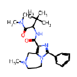 CN1CCCn2c(-c3ccccc3)nc(C(=O)NC(C(=O)N(C)C)C(C)(C)C)c2C1